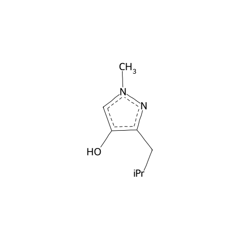 CC(C)Cc1nn(C)cc1O